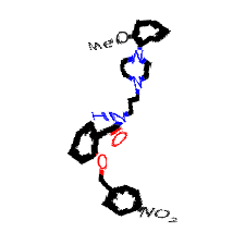 COc1ccccc1N1CCN(CCCNC(=O)c2ccccc2OCc2ccc([N+](=O)[O-])cc2)CC1